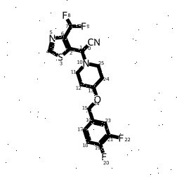 N#CC(c1scnc1C(F)F)N1CCC(OCc2ccc(F)c(F)c2)CC1